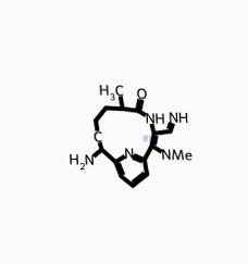 CN/C1=C(\C=N)NC(=O)C(C)CCCC(N)c2cccc1n2